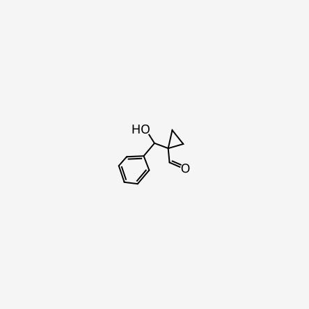 O=CC1(C(O)c2ccccc2)CC1